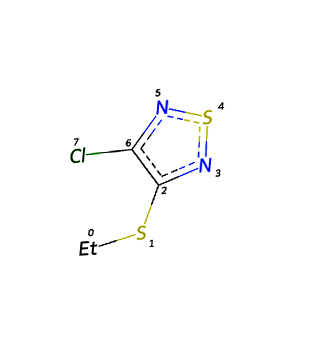 CCSc1nsnc1Cl